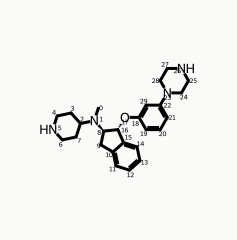 CN(C1CCNCC1)[C@@H]1Cc2ccccc2[C@H]1Oc1cccc(N2CCNCC2)c1